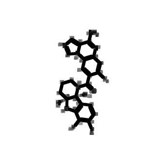 Nc1nc2cc(F)c(C(=O)N3CCC[C@@H]4Oc5c(ccc(F)c5F)[C@@H]43)cc2n2cncc12